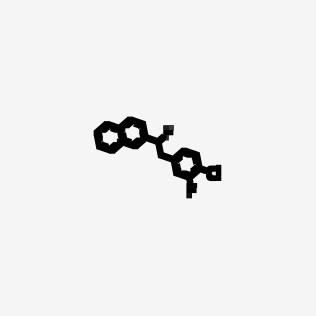 Fc1cc(CC(F)c2ccc3ccccc3c2)ccc1Cl